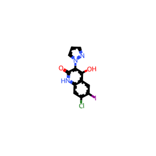 O=c1[nH]c2cc(Cl)c(I)cc2c(O)c1-n1cccn1